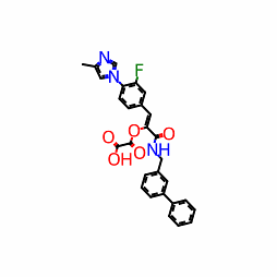 Cc1cn(-c2ccc(/C=C(\OC(=O)C(=O)O)C(=O)NCc3cccc(-c4ccccc4)c3)cc2F)cn1